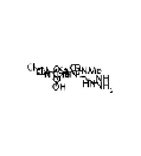 CNC(=O)[C@H](CCCCNC(=N)N)NC(=O)c1csc([C@@H]2C[C@H](O)CN2C(=O)c2cn3cc(Cl)ccc3n2)n1